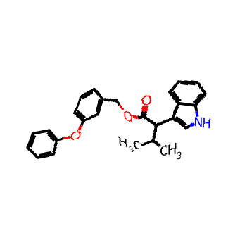 CC(C)C(C(=O)OCc1cccc(Oc2ccccc2)c1)c1c[nH]c2ccccc12